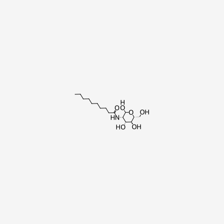 CCCCCCCCCC(=O)N[C@@H]1C(O)O[C@H](CO)[C@@H](O)[C@@H]1O